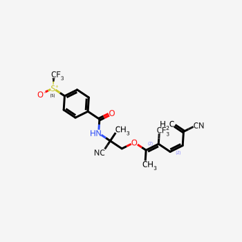 C=C(C#N)/C=C\C(=C(/C)OCC(C)(C#N)NC(=O)c1ccc([S@@+]([O-])C(F)(F)F)cc1)C(F)(F)F